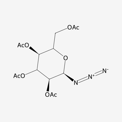 CC(=O)OCC1O[C@@H](N=[N+]=[N-])[C@@H](OC(C)=O)C(OC(C)=O)[C@H]1OC(C)=O